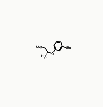 CNC[C@H](C)Oc1cccc(C(C)(C)C)c1